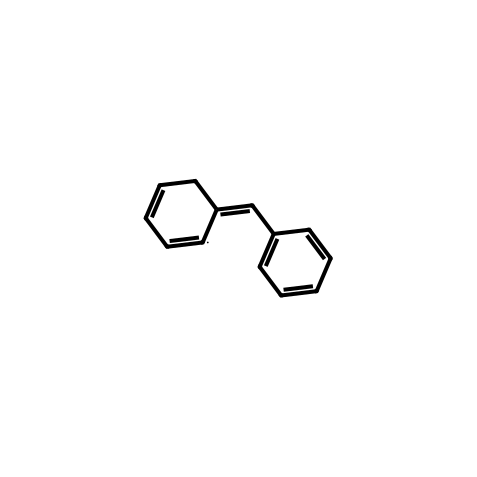 [C]1=CC=CCC1=Cc1ccccc1